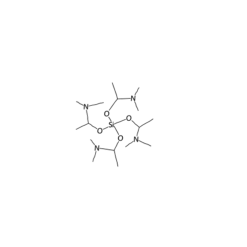 CC(O[Si](OC(C)N(C)C)(OC(C)N(C)C)OC(C)N(C)C)N(C)C